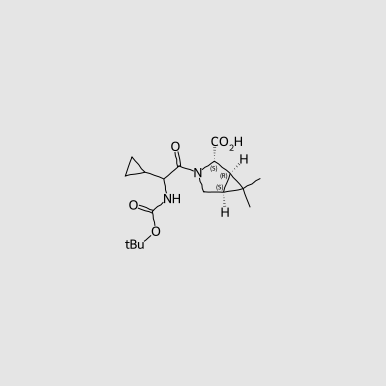 CC(C)(C)OC(=O)NC(C(=O)N1C[C@H]2[C@@H]([C@H]1C(=O)O)C2(C)C)C1CC1